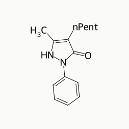 CCCCCc1c(C)[nH]n(-c2ccccc2)c1=O